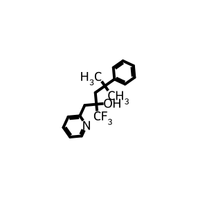 CC(C)(CC(O)(Cc1ccccn1)C(F)(F)F)c1ccccc1